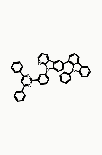 c1ccc(-c2cc(-c3ccccc3)nc(-c3cccc(-n4c5ccc(-c6cccc7c8ccccc8n(-c8ccccc8)c67)cc5c5cccnc54)c3)n2)cc1